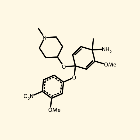 COC1=CC(Oc2ccc([N+](=O)[O-])c(OC)c2)(OC2CCN(C)CC2)C=CC1(C)N